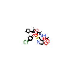 COc1ccnc(C(=S)N[C@@H](C)C(=O)O[C@@H](C)[C@H](Oc2ccc(Cl)cc2)C2CCCC2)c1OC(C)=O